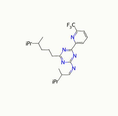 CC(C)C(C)/C=N\c1nc(CCCC(C)C(C)C)nc(-c2cccc(C(F)(F)F)n2)n1